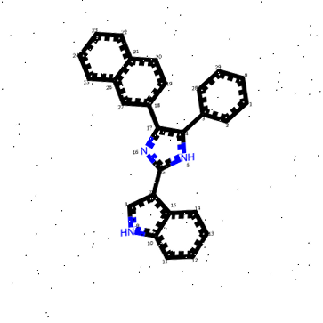 c1ccc(-c2[nH]c(-c3c[nH]c4ccccc34)nc2-c2ccc3ccccc3c2)cc1